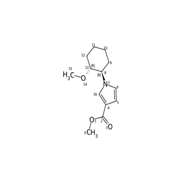 COC(=O)c1ccn([C@@H]2CCCC[C@H]2OC)c1